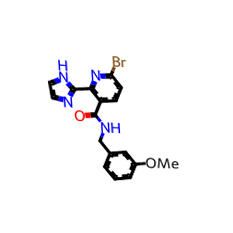 COc1cccc(CNC(=O)c2ccc(Br)nc2-c2ncc[nH]2)c1